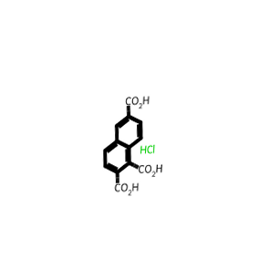 Cl.O=C(O)c1ccc2c(C(=O)O)c(C(=O)O)ccc2c1